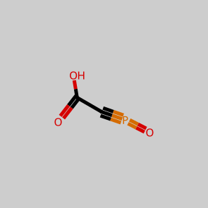 O=P#CC(=O)O